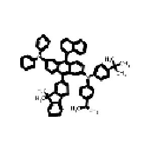 CC(C)c1ccc(N(c2ccc(C(C)(C)C)cc2)c2ccc3c(-c4cccc5ccccc45)c4cc(N(c5ccccc5)c5ccccc5)ccc4c(-c4ccc5c(c4)C(C)(C)c4ccccc4-5)c3c2)cc1